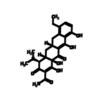 CCc1ccc(O)c2c1C[C@H]1C[C@H]3[C@H](N(C)C)C(=O)C(C(N)=O)=C(O)[C@@]3(O)C(=O)C1=C2O